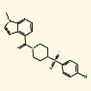 Cn1ccc2c(C(=O)N3CCC(S(=O)(=O)c4ccc(Cl)cc4)CC3)cccc21